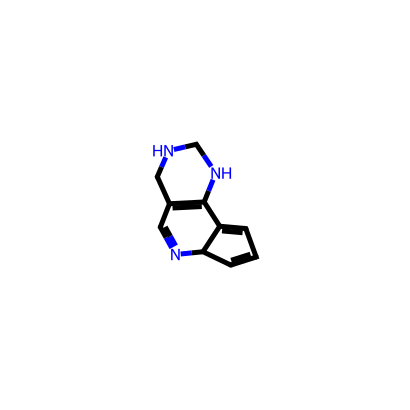 C1=CC2N=CC3=C(NCNC3)C2=C1